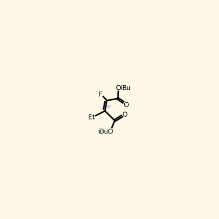 CC/C(C(=O)OCC(C)C)=C(\F)C(=O)OCC(C)C